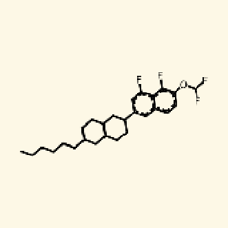 CCCCCCC1CCC2CC(c3cc(F)c4c(F)c(OC(F)F)ccc4c3)CCC2C1